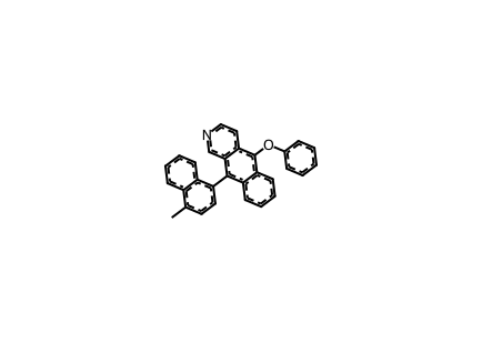 Cc1ccc(-c2c3ccccc3c(Oc3ccccc3)c3ccncc23)c2ccccc12